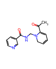 CC(=O)C1=CC=CCN1CNC(=O)c1cccnc1